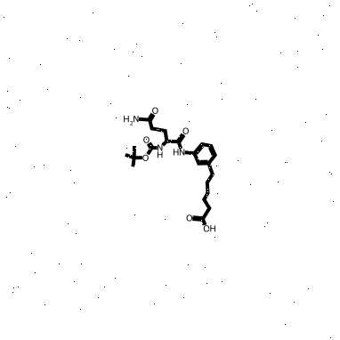 CC(C)(C)OC(=O)NC(CCC(N)=O)C(=O)Nc1cccc(CCCCCC(=O)O)c1